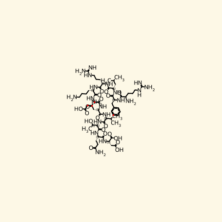 CC(C)C[C@H](NC(=O)[C@H](Cc1ccccc1)NC(=O)[C@@H](N)CCCNC(=N)N)C(=O)N[C@@H](CCCNC(=N)N)C(=O)N[C@@H](CCCCN)C(=O)N[C@@H](CCC(=O)O)C(=O)N[C@@H](CC(N)=O)C(=O)N[C@H](C(=O)N[C@H](C(=O)N[C@@H](CCC(N)=O)C(=O)N[C@@H](CC(=O)O)C(=O)O)[C@@H](C)O)C(C)C